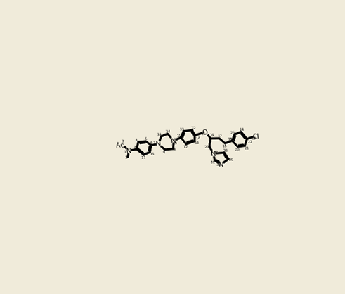 CC(=O)N(C)c1ccc(N2CCN(c3ccc(OC(CCc4ccc(Cl)cc4)Cn4ccnc4)cc3)CC2)cc1